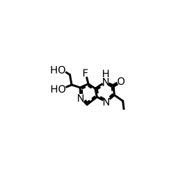 CCc1nc2cnc(C(O)CO)c(F)c2[nH]c1=O